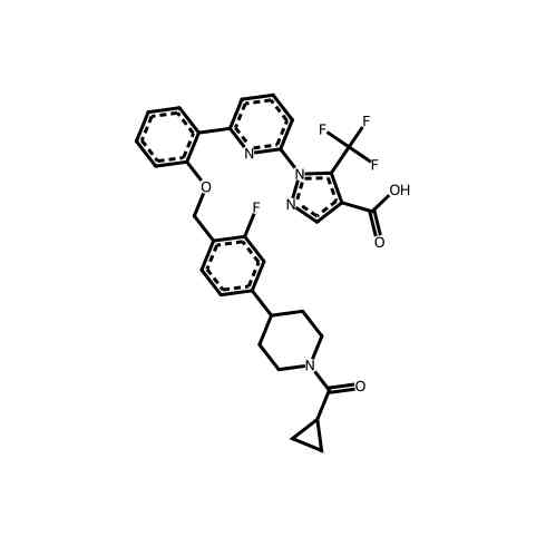 O=C(O)c1cnn(-c2cccc(-c3ccccc3OCc3ccc(C4CCN(C(=O)C5CC5)CC4)cc3F)n2)c1C(F)(F)F